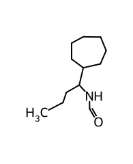 CCCC(NC=O)C1CCCCCC1